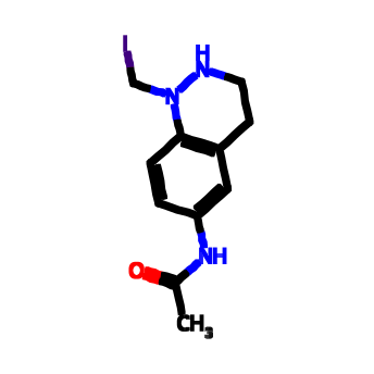 CC(=O)Nc1ccc2c(c1)CCNN2CI